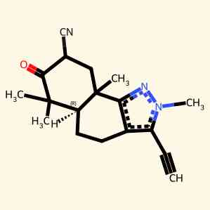 C#Cc1c2c(nn1C)C1(C)CC(C#N)C(=O)C(C)(C)[C@@H]1CC2